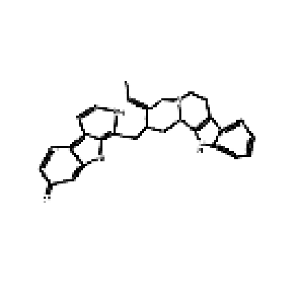 CC=C1CN2CCc3c([nH]c4ccccc34)C2CC1Cc1[nH]ccc2c1[nH]c1cc(=O)ccc12